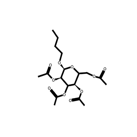 CCCCO[C@H]1OC(COC(C)=O)[C@@H](OC(C)=O)C(OC(C)=O)[C@H]1OC(C)=O